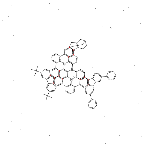 CC(C)(C)c1ccc2c(c1)c1cc(C(C)(C)C)ccc1n2-c1cc2c3c(c1)N(c1c(-c4ccccc4)cccc1-c1ccccc1)c1cc(-n4c5ccc(-c6ccccc6)cc5c5cc(-c6ccccc6)ccc54)ccc1B3c1ccc(N3C4CC5CCC3C(C5)C4)cc1N2c1c(-c2ccccc2)cccc1-c1ccccc1